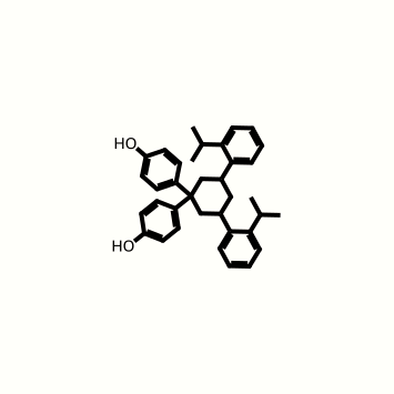 CC(C)c1ccccc1C1CC(c2ccccc2C(C)C)CC(c2ccc(O)cc2)(c2ccc(O)cc2)C1